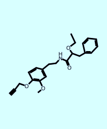 C#CCOc1ccc(CCNC(=O)C(Cc2ccccc2)OCC)cc1OC